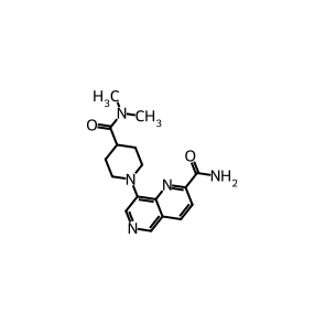 CN(C)C(=O)C1CCN(c2cncc3ccc(C(N)=O)nc23)CC1